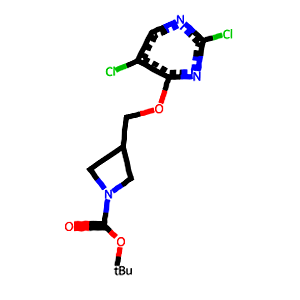 CC(C)(C)OC(=O)N1CC(COc2nc(Cl)ncc2Cl)C1